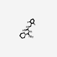 N=C(NCc1c(F)cccc1F)NC(=N)N1CCCCC1